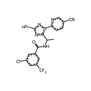 CCCc1nc(C(C)NC(=O)c2cc(Cl)cc(C(F)(F)F)c2)n(-c2ccc(C#N)cn2)n1